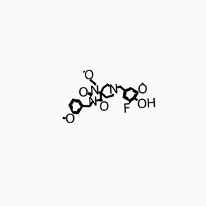 COCCN1C(=O)N(Cc2cccc(OC)c2)C(=O)C12CCN(Cc1cc(F)c(O)c(OC)c1)CC2